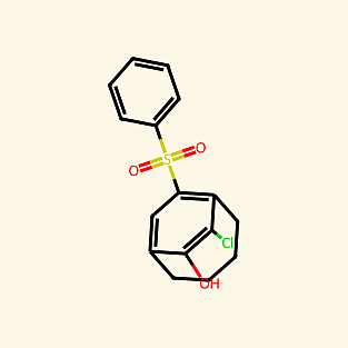 O=S(=O)(c1ccccc1)c1cc2c(O)c(Cl)c1CCCC2